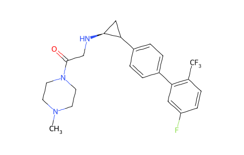 CN1CCN(C(=O)CN[C@H]2CC2c2ccc(-c3cc(F)ccc3C(F)(F)F)cc2)CC1